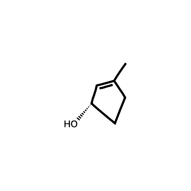 CC1=C[C@@H](O)CC1